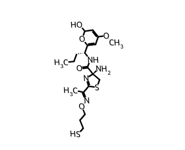 CCC[C@@H](NC(=O)[C@]1(N)CSC(/C(C)=N/OCCCS)=N1)C1=CC(OC)=CC(O)O1